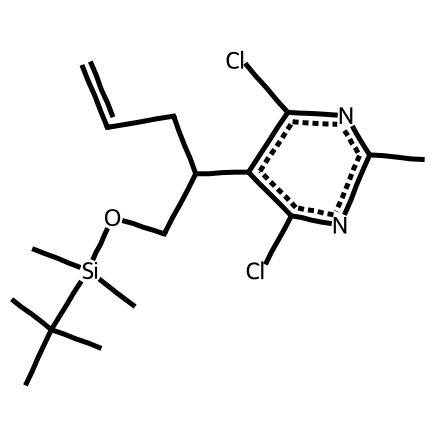 C=CCC(CO[Si](C)(C)C(C)(C)C)c1c(Cl)nc(C)nc1Cl